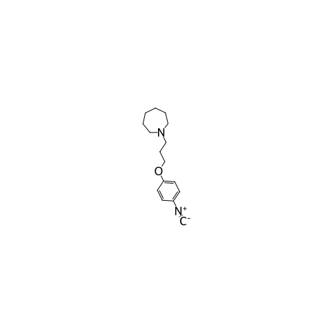 [C-]#[N+]c1ccc(OCCCN2CCCCCC2)cc1